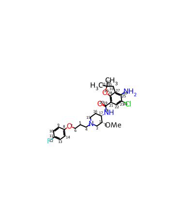 CO[C@@H]1CN(CCCOc2ccc(F)cc2)CC[C@@H]1NC(=O)c1cc(Cl)c(N)c2c1OC(C)(C)C2